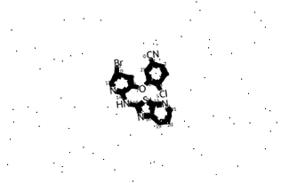 N#Cc1ccc(Cl)c(Oc2cc(Br)cnc2Nc2nc3cccnc3s2)c1